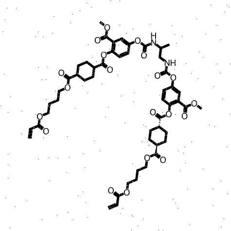 C=CC(=O)OCCCCOC(=O)C1CCC(C(=O)Oc2ccc(OC(=O)NC(C)CNC(=O)Oc3ccc(OC(=O)[C@H]4CC[C@H](C(=O)OCCCCOC(=O)C=C)CC4)c(C(=O)OC)c3)cc2C(=O)OC)CC1